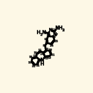 Nc1nc(N)c2cc(Cc3cccc4c3C=Cc3ccccc3N4)ccc2n1